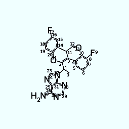 CC(C1=C(c2cccc(F)c2)C(C=O)c2cc(F)ccc2O1)n1cnc2c(N)ncnc21